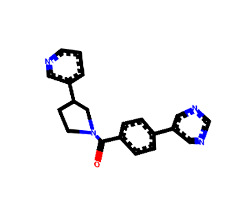 O=C(c1ccc(-c2cncnc2)cc1)N1CCC(c2cccnc2)C1